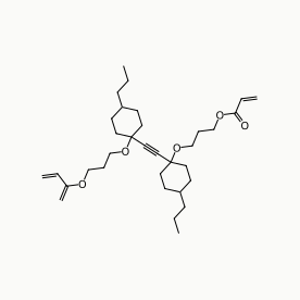 C=CC(=C)OCCCOC1(C#CC2(OCCCOC(=O)C=C)CCC(CCC)CC2)CCC(CCC)CC1